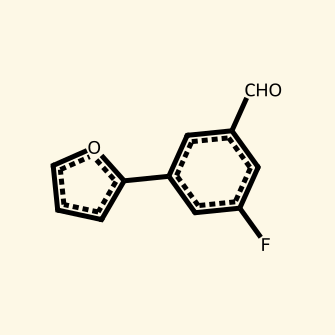 O=Cc1cc(F)cc(-c2ccco2)c1